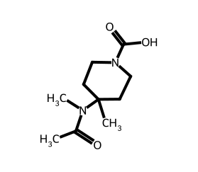 CC(=O)N(C)C1(C)CCN(C(=O)O)CC1